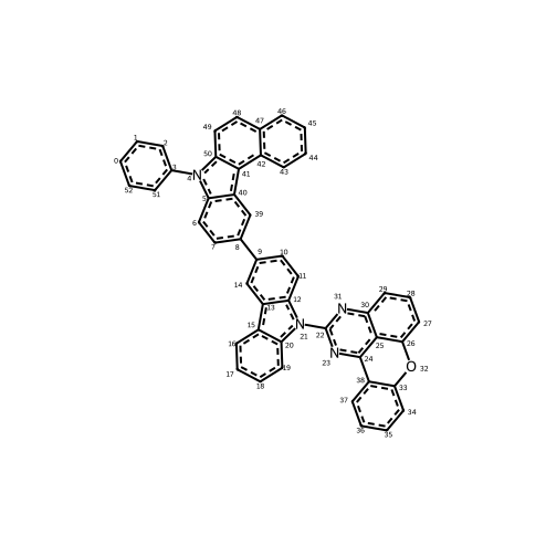 c1ccc(-n2c3ccc(-c4ccc5c(c4)c4ccccc4n5-c4nc5c6c(cccc6n4)Oc4ccccc4-5)cc3c3c4ccccc4ccc32)cc1